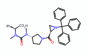 CC(C)[C@@H](C(=O)O)N(C)C(=O)N(C)[C@H]1CCN(C(=O)[C@H]2CN2C(c2ccccc2)(c2ccccc2)c2ccccc2)C1